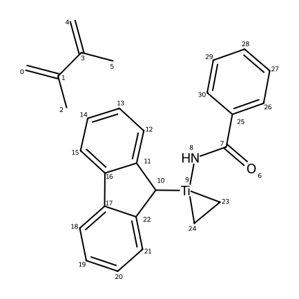 C=C(C)C(=C)C.O=C([NH][Ti]1([CH]2c3ccccc3-c3ccccc32)[CH2][CH2]1)c1ccccc1